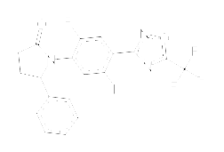 O=C1CCC(c2ccccc2)N1c1cc(F)c(-c2noc(C(F)(F)F)n2)cc1F